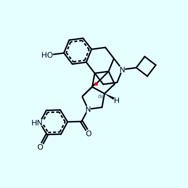 O=C(c1cc[nH]c(=O)c1)N1C[C@H]2CC34CCC1C2C31CCN(C2CCC2)C4Cc2ccc(O)cc21